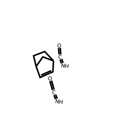 C1=CC2CCC1C2.N=C=O.N=C=O